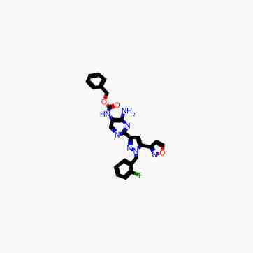 Nc1nc(-c2cc(-c3ccon3)n(Cc3ccccc3F)n2)ncc1NC(=O)OCc1ccccc1